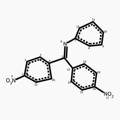 O=[N+]([O-])c1ccc(C(=Nc2ccccc2)c2ccc([N+](=O)[O-])cc2)cc1